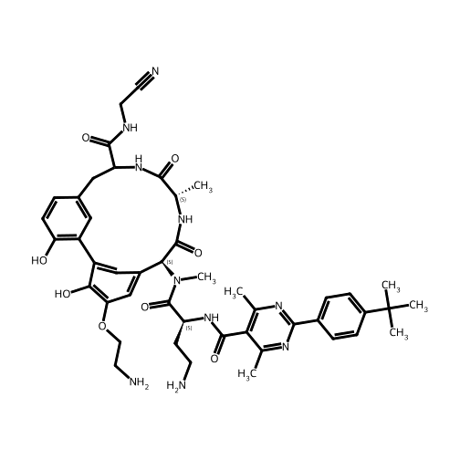 Cc1nc(-c2ccc(C(C)(C)C)cc2)nc(C)c1C(=O)N[C@@H](CCN)C(=O)N(C)[C@@H]1C(=O)N[C@@H](C)C(=O)NC(C(=O)NCC#N)Cc2ccc(O)c(c2)-c2cc1cc(OCCN)c2O